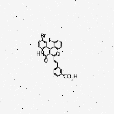 O=C(O)c1cccc(C=CC(=O)c2c(-c3ccccc3F)c3cc(Br)ccc3[nH]c2=O)c1